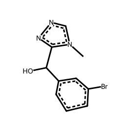 Cn1cnnc1C(O)c1cccc(Br)c1